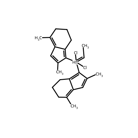 C[CH]=[Hf]([Cl])([Cl])([C]1=C2CCCC(C)=C2C=C1C)[C]1=C2CCCC(C)=C2C=C1C